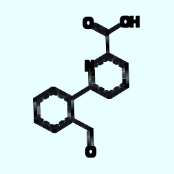 O=Cc1ccccc1-c1cccc(C(=O)O)n1